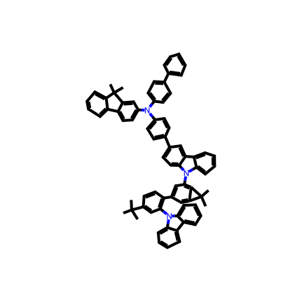 CC(C)(C)c1ccc(-c2cc(-n3c4ccccc4c4cc(-c5ccc(N(c6ccc(-c7ccccc7)cc6)c6ccc7c(c6)C(C)(C)c6ccccc6-7)cc5)ccc43)c3c(c2)C3(C)C)c(-n2c3ccccc3c3ccccc32)c1